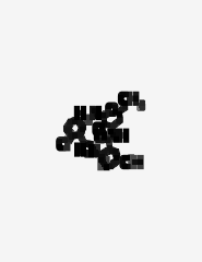 CCCCC(NC(=O)c1cccnc1-n1cnc(-c2ccccc2Cl)c1)C(=O)C(N)=O.Cl